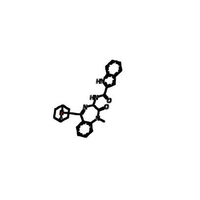 CN1C(=O)C(NC(=O)c2cc3ccccc3[nH]2)N=C(N2CC3CCC(CC3)C2)c2ccccc21